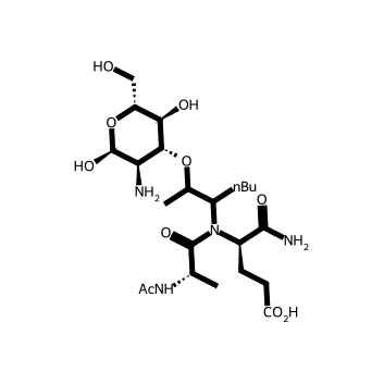 CCCCC(C(C)O[C@@H]1[C@@H](N)[C@@H](O)O[C@H](CO)[C@H]1O)N(C(=O)[C@H](C)NC(C)=O)[C@H](CCC(=O)O)C(N)=O